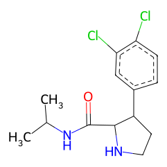 CC(C)NC(=O)C1NCCC1c1ccc(Cl)c(Cl)c1